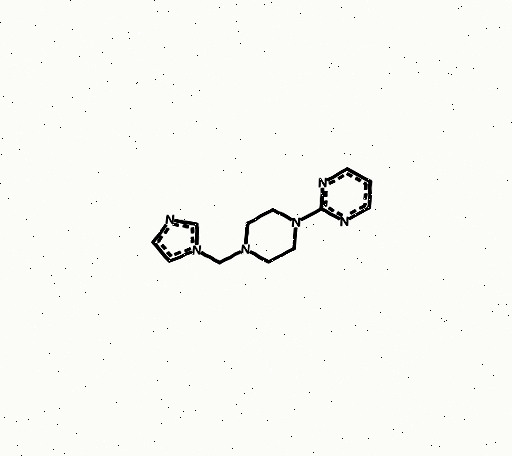 c1cnc(N2CCN(Cn3ccnc3)CC2)nc1